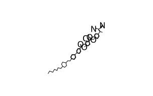 CCCCCCCC1CCC(CCc2ccc(-c3ccc(C(=O)Oc4ccc(C(=O)Oc5ccc(C(C)=C(C#N)C#N)cc5)c(Cl)c4)cc3)cc2)CC1